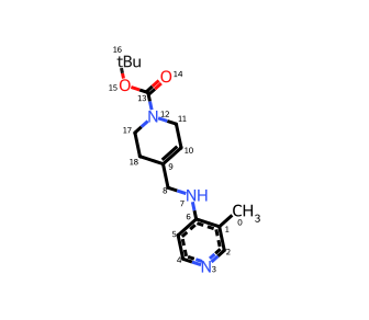 Cc1cnccc1NCC1=CCN(C(=O)OC(C)(C)C)CC1